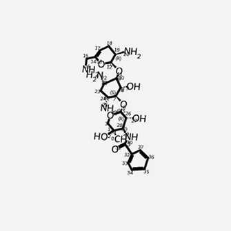 C[C@]1(O)CO[C@H](O[C@@H]2[C@@H](O)[C@H](O[C@H]3OC(CN)=CC[C@H]3N)[C@@H](N)C[C@H]2N)[C@H](O)[C@H]1NC(=O)c1ccccc1